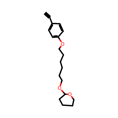 C#Cc1ccc(OCCCCCCOC2CCCCO2)cc1